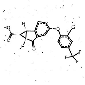 O=C(O)[C@H]1[C@@H]2C(=O)c3cc(Oc4ccc(C(F)(F)F)cc4Cl)ccc3[C@H]12